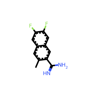 Cc1cc2cc(F)c(F)cc2cc1C(=N)N